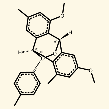 COc1cc(C)c2c(c1)[C@@H]1OO[C@@H](c3cc(C)cc(OC)c31)[C@@H]2c1ccc(C)cc1